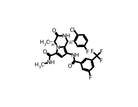 CNC(=O)c1cc(NC(=O)c2cc(F)cc(C(F)(F)F)c2)c2n1[C@H](C)C(=O)N[C@@H]2c1cc(F)ccc1Cl